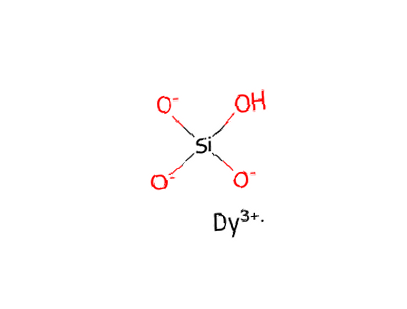 [Dy+3].[O-][Si]([O-])([O-])O